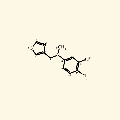 CN(Cc1cs[c]n1)c1ccc(Cl)c(Cl)c1